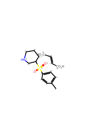 Cc1ccc(S(=O)(=O)C2CCCNC2)cc1.O=C(O)C=CC(=O)O